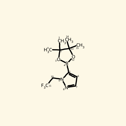 CC1(C)OB(c2ccnn2CC(F)(F)F)OC1(C)C